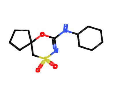 O=S1(=O)CC2(CCCC2)OC(NC2CCCCC2)=N1